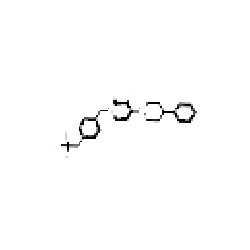 O=c1c(Cl)c(N2CCC(c3ccccc3)CC2)ccn1Cc1ccc(CC(F)(F)F)cc1